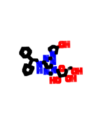 OC[C@H]1O[C@@H](n2cnc3c(NCC(c4ccccc4)c4ccccc4)nc(N4CC[C@@H](O)C4)nc32)[C@H](O)[C@@H]1O